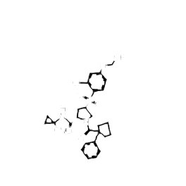 N#CC1(NC(=O)[C@@H]2C[C@@H](S(=O)(=O)c3ccc(OCC(F)(F)F)cc3Cl)CN2C(=O)C2(c3ccccc3)CCCC2)CC1